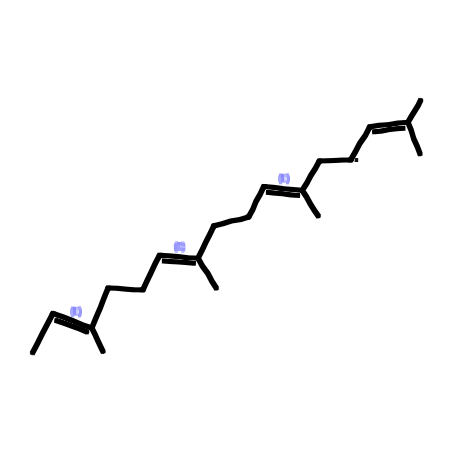 C/C=C(\C)CC/C=C(\C)CC/C=C(\C)C[CH]C=C(C)C